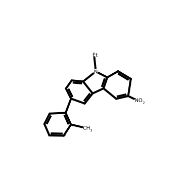 CCn1c2ccc(-c3ccc[c]c3C)cc2c2cc([N+](=O)[O-])ccc21